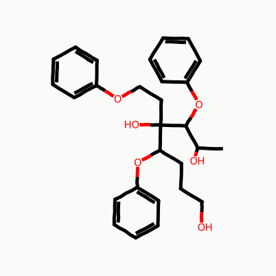 CC(O)C(Oc1ccccc1)C(O)(CCOc1ccccc1)C(CCCO)Oc1ccccc1